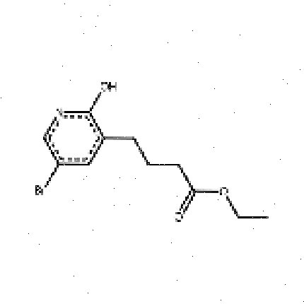 CCOC(=O)CCCc1cc(Br)cnc1O